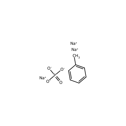 Cc1ccccc1.O=P([O-])([O-])[O-].[Na+].[Na+].[Na+]